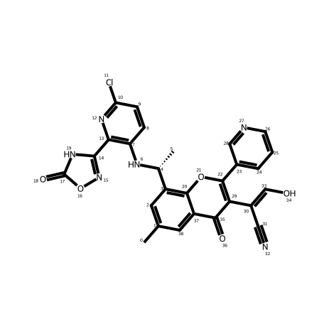 Cc1cc([C@@H](C)Nc2ccc(Cl)nc2-c2noc(=O)[nH]2)c2oc(-c3cccnc3)c(/C(C#N)=C/O)c(=O)c2c1